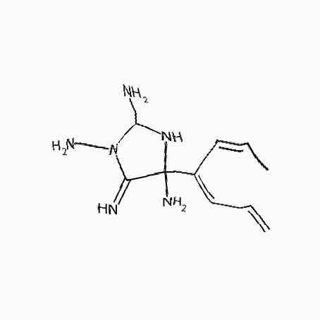 C=C/C=C(\C=C/C)C1(N)NC(N)N(N)C1=N